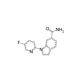 NC(=O)c1ccc2ccn(-c3ccc(F)cn3)c2c1